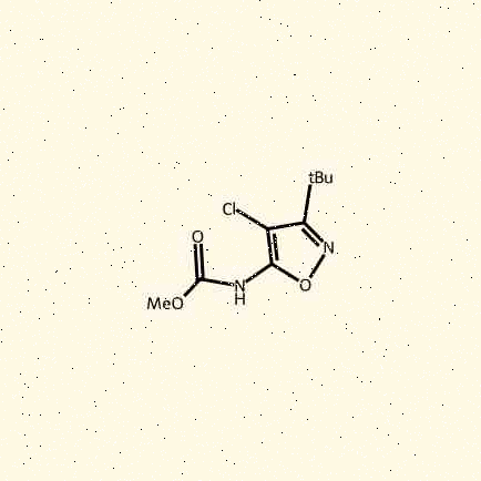 COC(=O)Nc1onc(C(C)(C)C)c1Cl